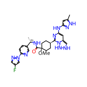 CO[C@]1(C(=O)N[C@@H](C)c2ccc(-n3cc(F)cn3)nc2)CC[C@H](C2=NC(Nc3cc(C)[nH]n3)=CC3=CNNN32)CC1